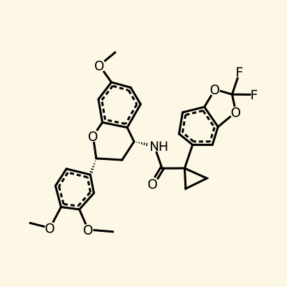 COc1ccc2c(c1)O[C@@H](c1ccc(OC)c(OC)c1)C[C@H]2NC(=O)C1(c2ccc3c(c2)OC(F)(F)O3)CC1